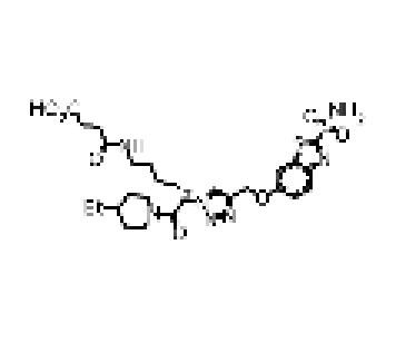 CCC1CCN(C(=O)[C@H](CCCCNC(=O)CCC(=O)O)n2cc(COc3ccc4nc(S(N)(=O)=O)sc4c3)nn2)CC1